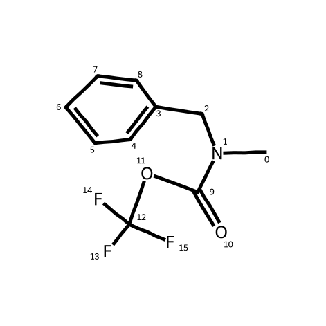 CN(Cc1ccccc1)C(=O)OC(F)(F)F